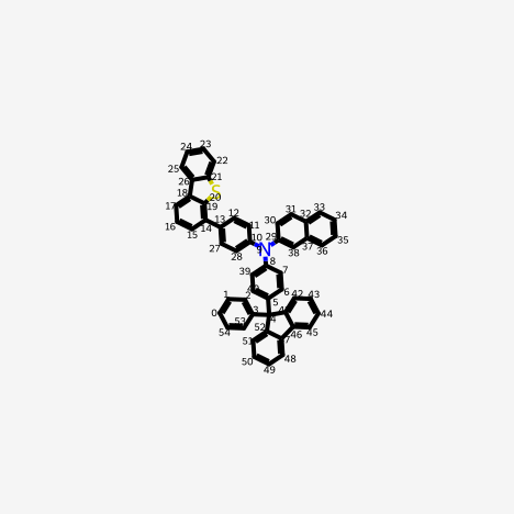 c1ccc(C2(c3ccc(N(c4ccc(-c5cccc6c5sc5ccccc56)cc4)c4ccc5ccccc5c4)cc3)c3ccccc3-c3ccccc32)cc1